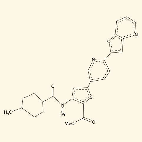 COC(=O)c1sc(-c2ccc(-c3cc4ncccc4o3)nc2)cc1N(C(=O)C1CCC(C)CC1)C(C)C